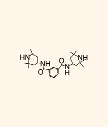 CC1CC(NC(=O)c2cccc(C(=O)NC3CC(C)(C)NC(C)(C)C3)c2)CC(C)(C)N1